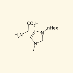 CCCCCCN1C=CN(C)C1.NCC(=O)O